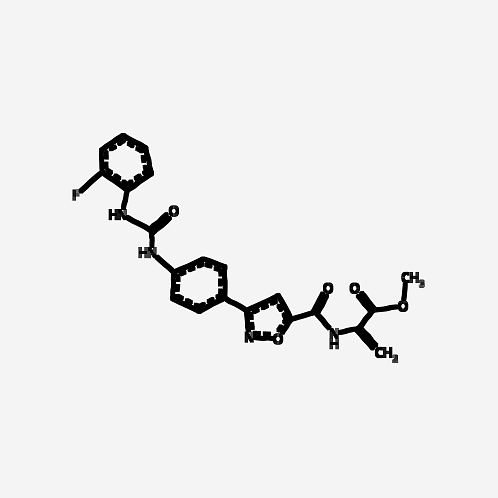 C=C(NC(=O)c1cc(-c2ccc(NC(=O)Nc3ccccc3F)cc2)no1)C(=O)OC